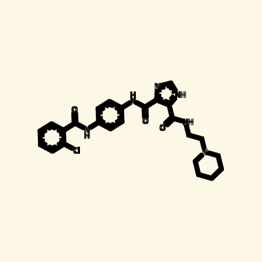 O=C(Nc1ccc(NC(=O)c2nc[nH]c2C(=O)NCCN2CCCCC2)cc1)c1ccccc1Cl